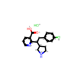 Cl.O=C(O)c1cccnc1C(Cc1ccc(Cl)cc1)C1CCNC1